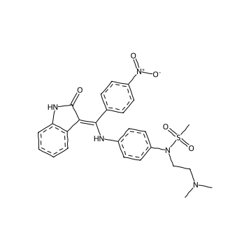 CN(C)CCN(c1ccc(NC(=C2C(=O)Nc3ccccc32)c2ccc([N+](=O)[O-])cc2)cc1)S(C)(=O)=O